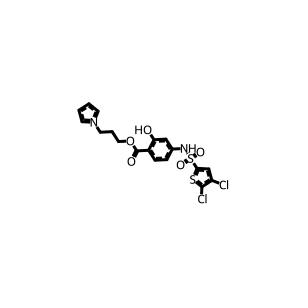 O=C(OCCCn1cccc1)c1ccc(NS(=O)(=O)c2cc(Cl)c(Cl)s2)cc1O